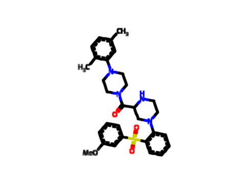 COc1cccc(S(=O)(=O)c2ccccc2N2CCNC(C(=O)N3CCN(c4cc(C)ccc4C)CC3)C2)c1